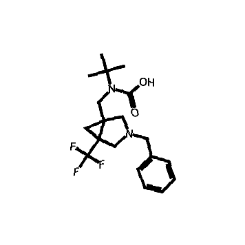 CC(C)(C)N(CC12CN(Cc3ccccc3)CC1(C(F)(F)F)C2)C(=O)O